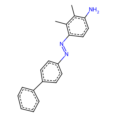 Cc1c(N)ccc(N=Nc2ccc(-c3ccccc3)cc2)c1C